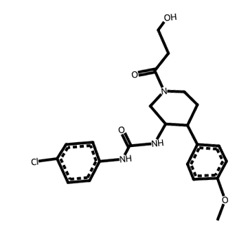 COc1ccc(C2CCN(C(=O)CCO)CC2NC(=O)Nc2ccc(Cl)cc2)cc1